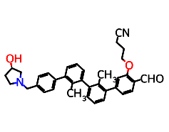 Cc1c(-c2ccc(CN3CC[C@@H](O)C3)cc2)cccc1-c1cccc(-c2ccc(C=O)c(OCCCC#N)c2)c1C